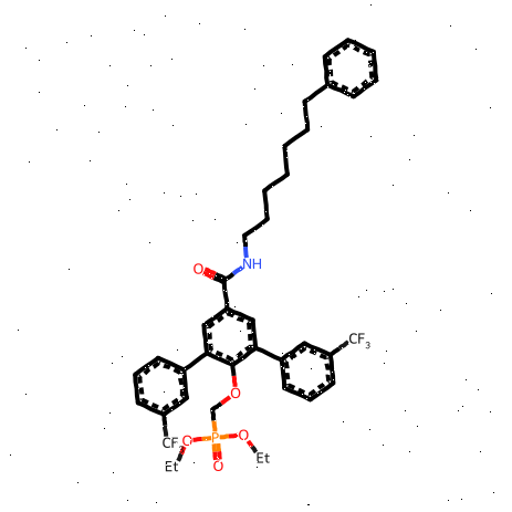 CCOP(=O)(COc1c(-c2cccc(C(F)(F)F)c2)cc(C(=O)NCCCCCCCc2ccccc2)cc1-c1cccc(C(F)(F)F)c1)OCC